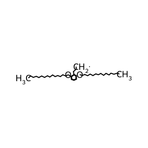 [CH2]CCc1c(OCCCCCCCCCCCCCCC)cccc1OCCCCCCCCCCCCCCC